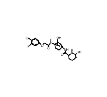 O=C(COc1ccc(Cl)c(F)c1)NC12CCC(NC(=O)C3CCCC(O)N3)(CC1)CC2O